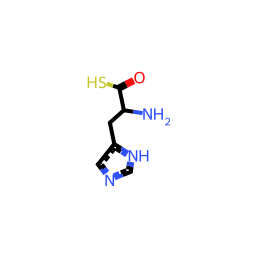 NC(Cc1cnc[nH]1)C(=O)S